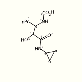 CCCC(NC(=O)O)C(O)C(=O)NC1CC1